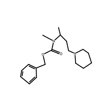 CC(CCN1CCCCC1)N(C)C(=O)OCc1ccccc1